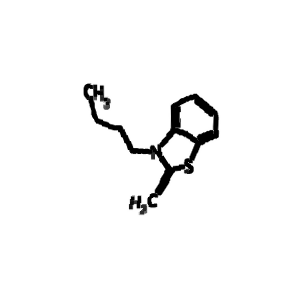 C=C1Sc2ccccc2N1CCCC